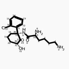 NCCCC[C@H](N)C(=O)N[C@@]1(c2ccccc2Cl)CCC[C@@H](O)C1=O